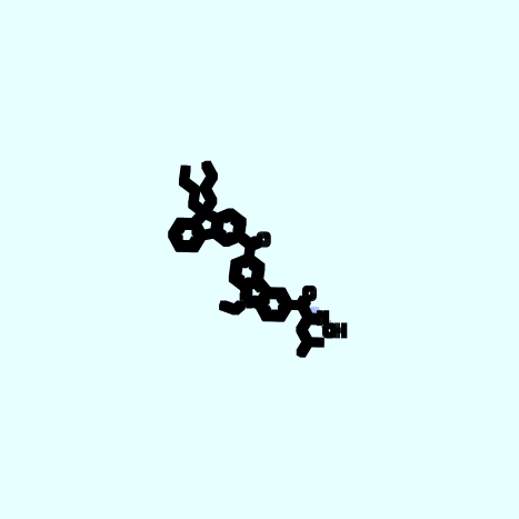 CCCCC1(CCCC)c2ccccc2-c2cc(C(=O)c3ccc4c(c3)c3cc(C(=O)/C(CC(C)C)=N/O)ccc3n4CC)ccc21